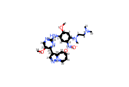 COc1cc(N(C)CCN(C)C)c([N+](=O)[O-])cc1Nc1ncc(OC)c(-c2cnn3ccccc23)n1